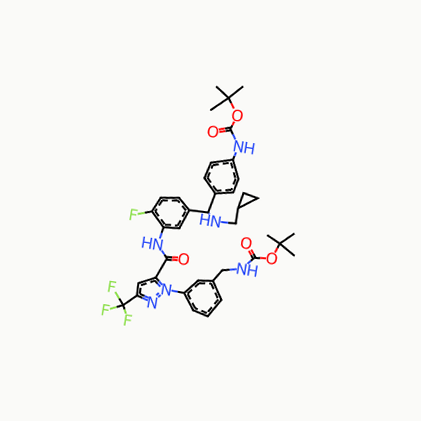 CC(C)(C)OC(=O)NCc1cccc(-n2nc(C(F)(F)F)cc2C(=O)Nc2cc(C(NCC3CC3)c3ccc(NC(=O)OC(C)(C)C)cc3)ccc2F)c1